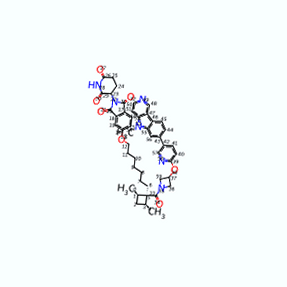 C[C@@H]1C[C@H](C)[C@]1(CCCCCCCOc1ccc2c(c1)C(=O)N(C1CCC(=O)NC1=O)C2=O)C(=O)N1CC(Oc2ccc(-c3ccc4c5cnccc5n(C)c4c3)cn2)C1